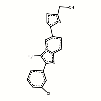 Cc1c(-c2cccc(Cl)c2)nc2ccc(-c3ccc(CO)o3)cn12